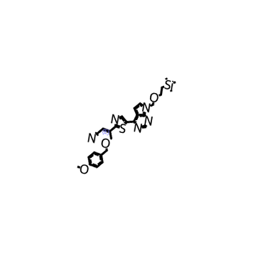 COc1ccc(COC/C(=C\C#N)c2ncc(-c3ncnc4c3ccn4COCC[Si](C)(C)C)s2)cc1